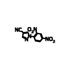 N#Cc1cnn(-c2ccc([N+](=O)[O-])cc2[N+](=O)[O-])c1